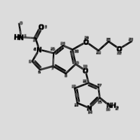 CNC(=O)n1ccc2cc(Oc3ccnc(N)c3)c(OCCOC)cc21